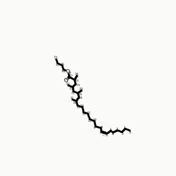 CCCCCC/C=C\CCCCCCCCC(C)CC(C)CC(C)CC(C)C(=O)OCCCC